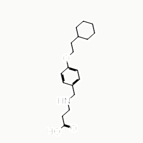 O=C(O)CCNCc1ccc(OCCC2CCCCC2)cc1